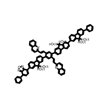 CCCCCCCCC1(CCCCCCCC)c2cc(-c3ccccc3)ccc2-c2ccc(-c3ccc4c(c3)C(CCCCCCCC)(CCCCCCCC)c3cc(-c5cc(/C=C/c6ccc7ccccc7n6)c(-c6ccc7c(c6)C(CCCCCCCC)(CCCCCCCC)c6cc(-c8ccc(-c9ccccc9)c9nonc89)ccc6-7)cc5/C=C/c5ccc6ccccc6n5)ccc3-4)cc21